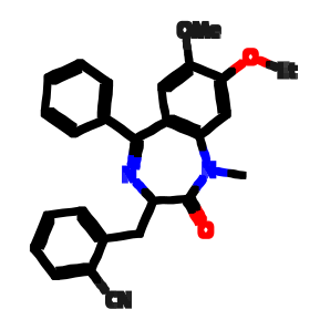 CCOc1cc2c(cc1OC)C(c1ccccc1)=NC(Cc1ccccc1C#N)C(=O)N2C